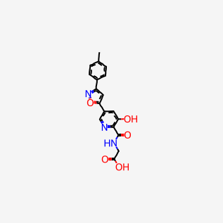 Cc1ccc(-c2cc(-c3cnc(C(=O)NCC(=O)O)c(O)c3)on2)cc1